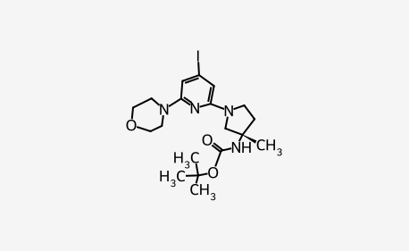 CC(C)(C)OC(=O)N[C@@]1(C)CCN(c2cc(I)cc(N3CCOCC3)n2)C1